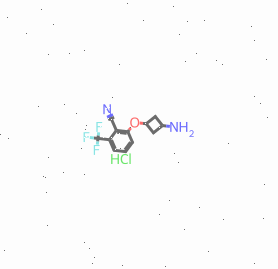 Cl.N#Cc1c(OC2CC(N)C2)cccc1C(F)(F)F